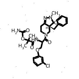 CN1N=C2CCN(C(=O)C(COc3cccc(Cl)c3)NC(=O)C(C)(C)OC(N)=O)C[C@@]2(Cc2ccccc2)C1=O